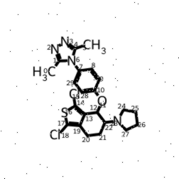 Cc1nnc(C)n1-c1ccc(OC2c3c(Cl)sc(Cl)c3CCC2N2CCCC2)cc1